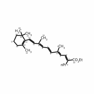 CCC\C(=C/C=C(C)/C=C/C=C(C)/C=C/C1=C(C)CCCC1(C)C)C(=O)OCC